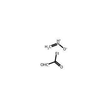 C=[NH+][O-].CCC(=O)C=O